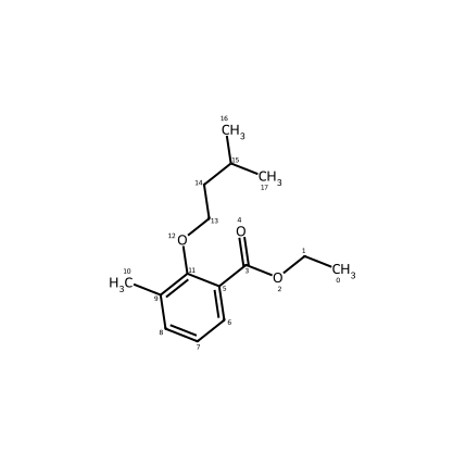 CCOC(=O)c1cccc(C)c1OCCC(C)C